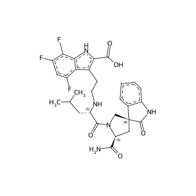 CC(C)C[C@H](NCCc1c(C(=O)O)[nH]c2c(F)c(F)cc(F)c12)C(=O)N1C[C@]2(C[C@H]1C(N)=O)C(=O)Nc1ccccc12